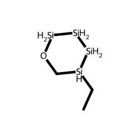 CC[SiH]1CO[SiH2][SiH2][SiH2]1